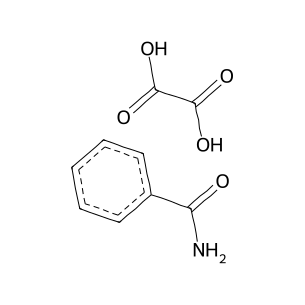 NC(=O)c1ccccc1.O=C(O)C(=O)O